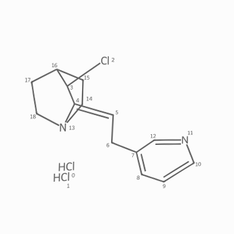 Cl.Cl.ClC1C(=CCc2cccnc2)N2CCC1CC2